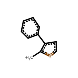 [CH2]c1sccc1-c1ccccc1